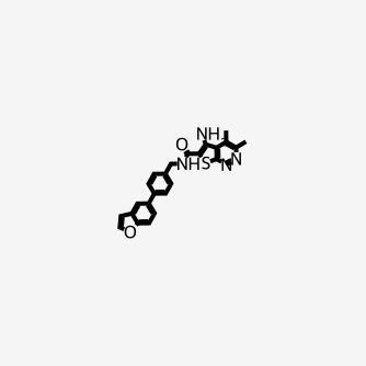 Cc1nnc2sc(C(=O)NCc3ccc(-c4ccc5occc5c4)cc3)c(N)c2c1C